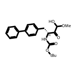 COC(O)C(=O)[C@@H](Cc1ccc(-c2ccccc2)cc1)NC(=O)OC(C)(C)C